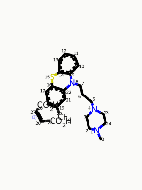 CN1CCN(CCCN2c3ccccc3Sc3ccc(C(F)(F)F)cc32)CC1.O=C(O)/C=C\C(=O)O